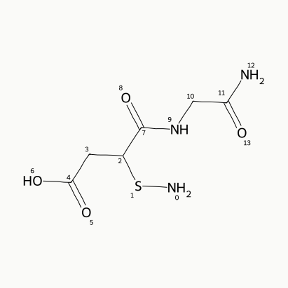 NSC(CC(=O)O)C(=O)NCC(N)=O